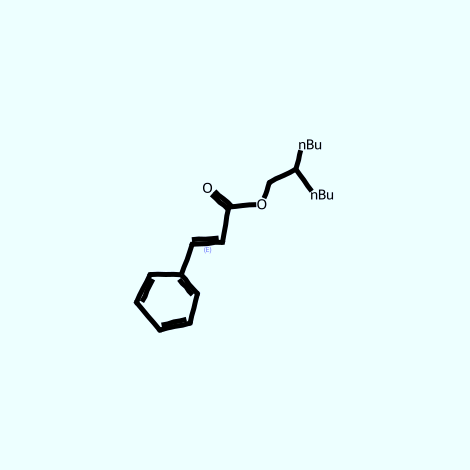 CCCCC(CCCC)COC(=O)/C=C/c1ccccc1